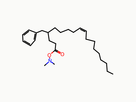 CCCCCCCC/C=C\CCCCC(CCC(=O)ON(C)C)Cc1ccccc1